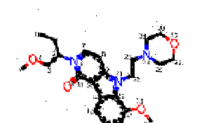 CCC(COC)n1ccc2c(c1=O)c1cccc(OC)c1n2CCN1CCOCC1